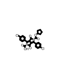 O=C(O)N1C(=O)C2=C(c3ccc(Cl)cc3)N(C(=O)OC3CCCC3)C(=O)C2=C1c1ccc(Cl)cc1